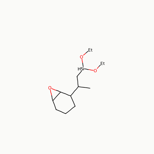 CCO[SiH](CC(C)C1CCCC2OC21)OCC